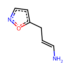 NC=CCc1ccno1